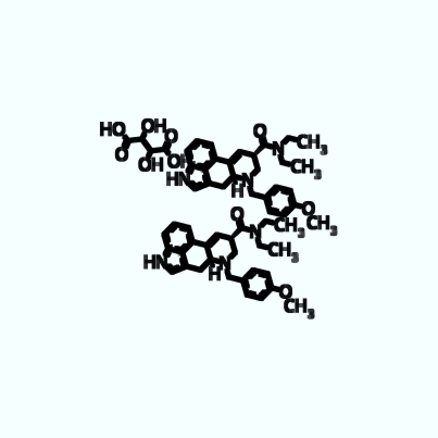 CCN(CC)C(=O)[C@@H]1C=C2c3cccc4[nH]cc(c34)C[C@H]2N(Cc2ccc(OC)cc2)C1.CCN(CC)C(=O)[C@@H]1C=C2c3cccc4[nH]cc(c34)C[C@H]2N(Cc2ccc(OC)cc2)C1.O=C(O)C(O)C(O)C(=O)O